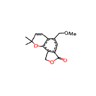 COCc1cc2c(c3c1C=CC(C)(C)O3)COC2=O